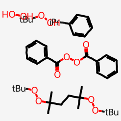 CC(C)(C)OO.CC(C)(C)OOC(C)(C)CCC(C)(C)OOC(C)(C)C.CC(C)c1ccccc1.O=C(OOC(=O)c1ccccc1)c1ccccc1.OO